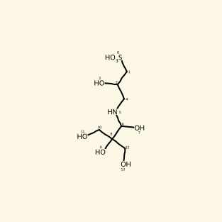 O=S(=O)(O)CC(O)CNC(O)C(O)(CO)CO